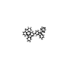 c1ccc2c(c1)sc1cccc(-n3c4ccccc4c4cc(-c5ccc6c(c5)c5ccccc5n6-c5ncncn5)ccc43)c12